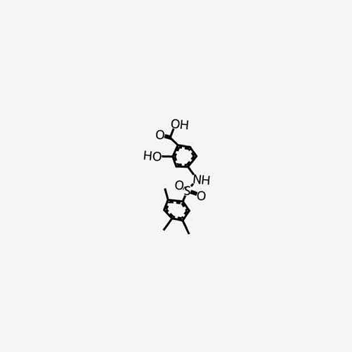 Cc1cc(C)c(S(=O)(=O)Nc2ccc(C(=O)O)c(O)c2)cc1C